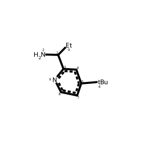 CC[C](N)c1cc(C(C)(C)C)ccn1